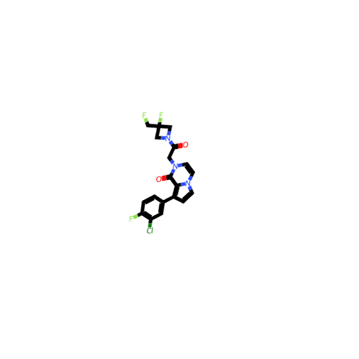 O=C(Cn1ccn2ccc(-c3ccc(F)c(Cl)c3)c2c1=O)N1CC(F)(CF)C1